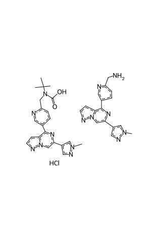 Cl.Cn1cc(-c2cn3nccc3c(-c3ccc(CN(C(=O)O)C(C)(C)C)nc3)n2)cn1.Cn1cc(-c2cn3nccc3c(-c3ccc(CN)nc3)n2)cn1